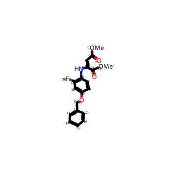 COC(=O)/C=C(/Nc1ccc(OCc2ccccc2)cc1F)C(=O)OC